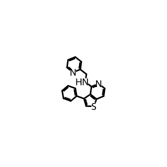 c1ccc(-c2csc3ccnc(NCc4ccccn4)c23)cc1